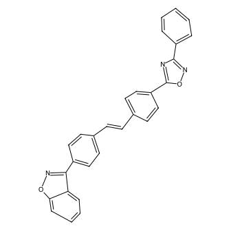 C(=Cc1ccc(-c2noc3ccccc23)cc1)c1ccc(-c2nc(-c3ccccc3)no2)cc1